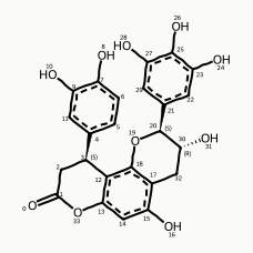 O=C1C[C@@H](c2ccc(O)c(O)c2)c2c(cc(O)c3c2O[C@@H](c2cc(O)c(O)c(O)c2)[C@H](O)C3)O1